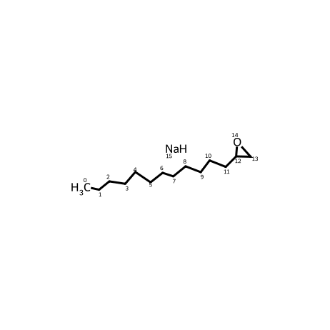 CCCCCCCCCCCCC1CO1.[NaH]